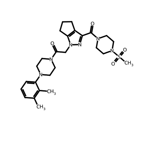 Cc1cccc(N2CCN(C(=O)Cn3nc(C(=O)N4CCN(S(C)(=O)=O)CC4)c4c3CCC4)CC2)c1C